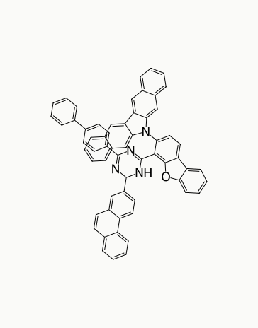 c1ccc(-c2ccc(C3=NC(c4ccc5c(ccc6ccccc65)c4)NC(c4c(-n5c6cc7ccccc7cc6c6cc7ccccc7cc65)ccc5c4oc4ccccc45)=N3)cc2)cc1